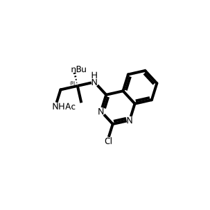 CCCC[C@](C)(CNC(C)=O)Nc1nc(Cl)nc2ccccc12